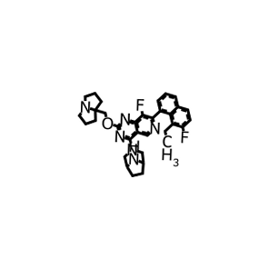 CCc1c(F)ccc2cccc(-c3ncc4c(N5CC6CCC(C5)N6)nc(OCC56CCCN5CCC6)nc4c3F)c12